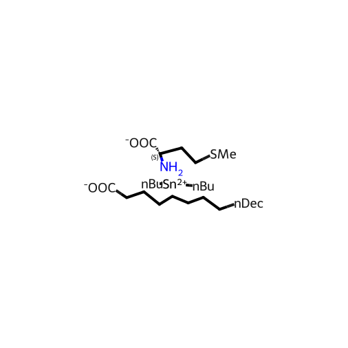 CCCCCCCCCCCCCCCCCC(=O)[O-].CCC[CH2][Sn+2][CH2]CCC.CSCC[C@H](N)C(=O)[O-]